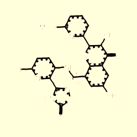 COc1cccc(-c2oc3c([C@@H](C)Nc4ccc(Cl)nc4-c4noc(=O)[nH]4)cc(C)cc3c(=O)c2C)n1